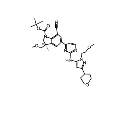 COCCn1nc(C2CCOCC2)cc1Nc1nccc(-c2cc(C#N)c3c(c2)[C@@](C)(COC)CN3C(=O)OC(C)(C)C)n1